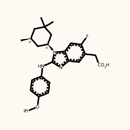 CC(C)Oc1ccc(Nc2nc3cc(CC(=O)O)c(F)cc3n2[C@H]2C[C@@H](C)CC(C)(C)C2)cc1